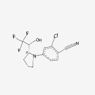 N#Cc1ccc(N2CCC[C@@H]2C(O)C(F)(F)F)cc1Cl